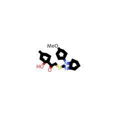 COc1ccc(-n2c(SCC(=O)c3ccc(C)cc3O)nc3ccccc32)cc1